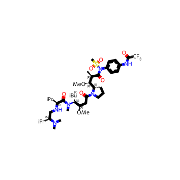 CC[C@@H](C)[C@@H]([C@@H](CC(=O)N1CCC[C@H]1[C@H](OC)[C@@H](C)C(=O)N(c1ccc(NC(=O)C(F)(F)F)cc1)S(C)(=O)=O)OC)N(C)C(=O)[C@@H](NC[C@H](C(C)C)N(C)C)C(C)C